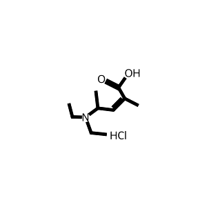 CCN(CC)C(C)C=C(C)C(=O)O.Cl